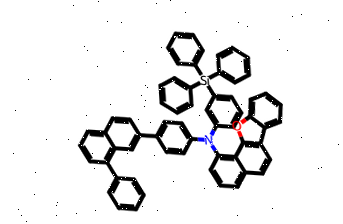 c1ccc(-c2cccc3ccc(-c4ccc(N(c5cccc([Si](c6ccccc6)(c6ccccc6)c6ccccc6)c5)c5cccc6ccc7c8ccccc8oc7c56)cc4)cc23)cc1